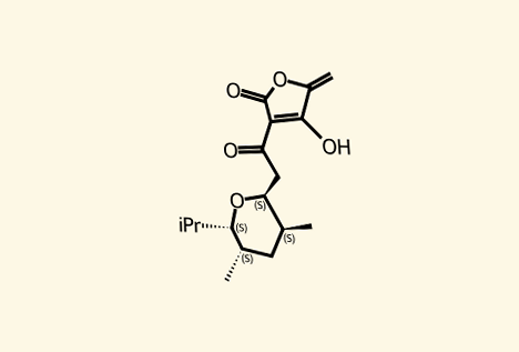 C=C1OC(=O)C(C(=O)C[C@@H]2O[C@@H](C(C)C)[C@@H](C)C[C@@H]2C)=C1O